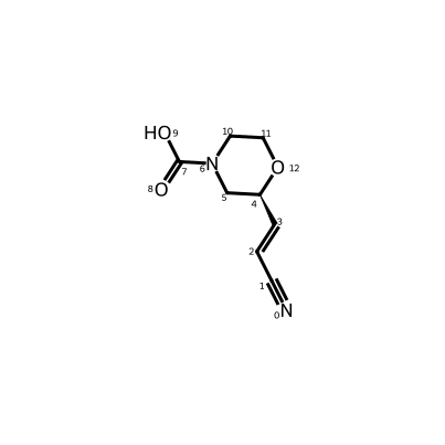 N#C/C=C/[C@H]1CN(C(=O)O)CCO1